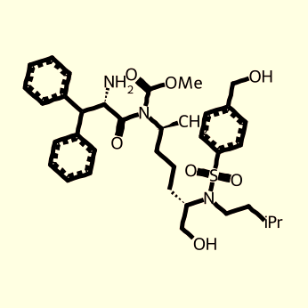 COC(=O)N(C(=O)[C@@H](N)C(c1ccccc1)c1ccccc1)[C@@H](C)CCC[C@@H](CO)N(CCC(C)C)S(=O)(=O)c1ccc(CO)cc1